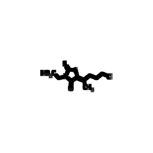 C/C(CCCCl)=C1/SC(=S)N(CC(=O)O)C1=O